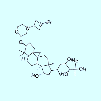 COC(C[C@@H](C)[C@H]1C[C@H](O)[C@@]2(C)C3CC[C@H]4C(C)(C)[C@@H](O[C@H]5CN(C6CN(C(C)C)C6)CCO5)CC[C@@]45CC35CC[C@]12C)[C@H](O)C(C)(C)O